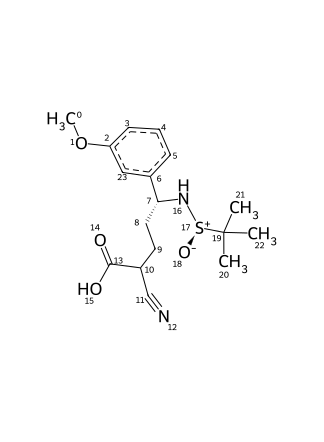 COc1cccc([C@@H](CCC(C#N)C(=O)O)N[S@+]([O-])C(C)(C)C)c1